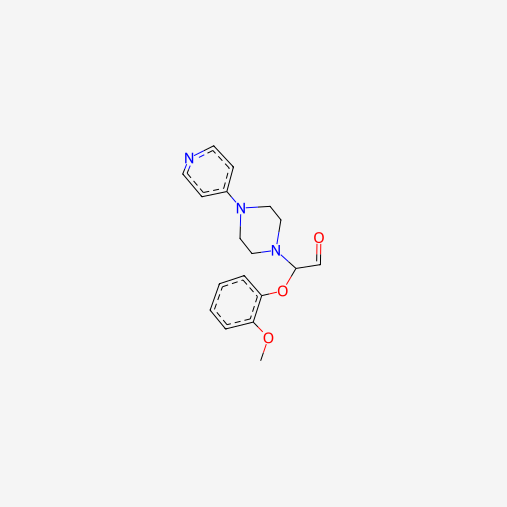 COc1ccccc1OC(C=O)N1CCN(c2ccncc2)CC1